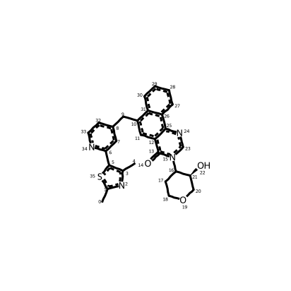 Cc1nc(C)c(-c2cc(Cc3cc4c(=O)n(C5CCOC[C@@H]5O)cnc4c4ccccc34)ccn2)s1